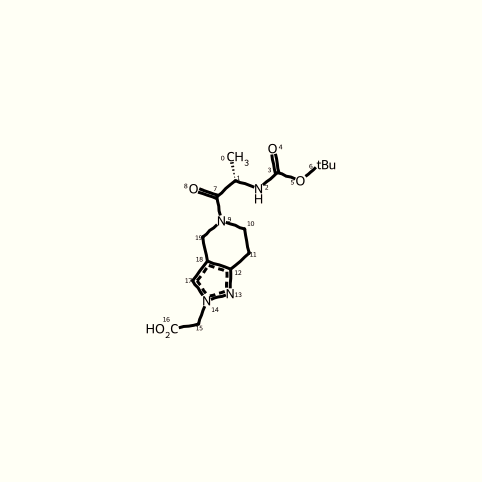 C[C@H](NC(=O)OC(C)(C)C)C(=O)N1CCc2nn(CC(=O)O)cc2C1